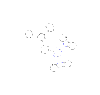 c1ccc(-c2cc(-c3ccccc3)cc(-c3cccc(-c4nc(-n5c6ccccc6c6ccccc65)nc(-n5c6ccccc6c6ccccc65)n4)c3)c2)cc1